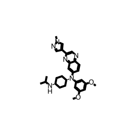 COc1cc(OC)cc(N(c2ccc3ncc(-c4cnn(C)c4)nc3c2)[C@H]2CC[C@@H](NC(C)C)CC2)c1